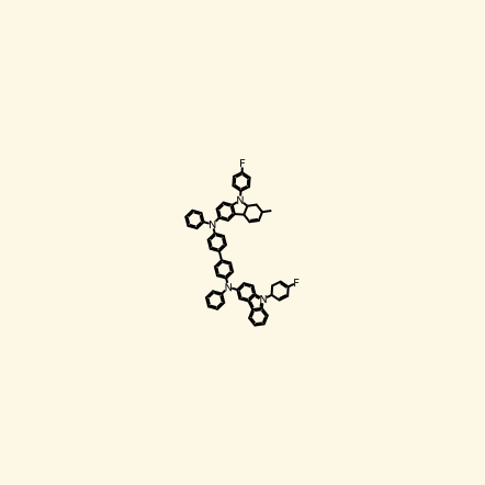 CC1C=CC2c3cc(N(c4ccccc4)c4ccc(-c5ccc(N(c6ccccc6)c6ccc7c(c6)c6ccccc6n7C6C=CC(F)=CC6)cc5)cc4)ccc3N(c3ccc(F)cc3)C2C1